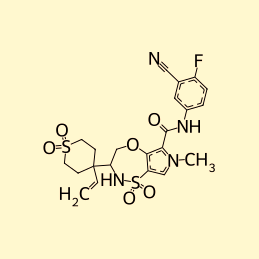 C=CC1(C2COc3c(cn(C)c3C(=O)Nc3ccc(F)c(C#N)c3)S(=O)(=O)N2)CCS(=O)(=O)CC1